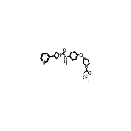 O=C(CC(F)(F)F)N1CC[C@H](Oc2ccc(NC(=O)N3CC(c4cccnc4)C3)cc2)C1